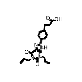 C=CCn1c(=O)c2nc(-c3ccc(C=CC(=O)O)cc3)[nH]c2n(CC=C)c1=O